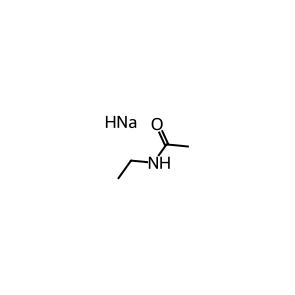 CCNC(C)=O.[NaH]